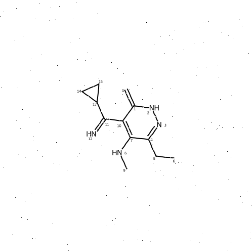 C=C1NN=C(CC)C(NC)=C1C(=N)C1CC1